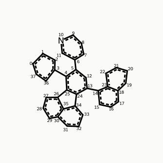 c1ccc(-c2c(-c3cccnc3)cc(-c3cccc4ccccc34)c3c2-c2cccc4cccc-3c24)cc1